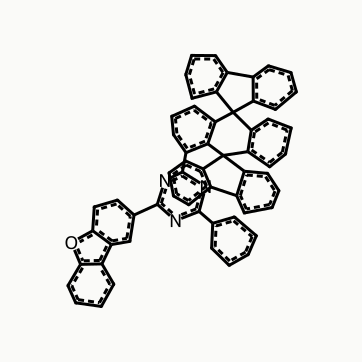 c1ccc(-c2nc(-c3ccc4oc5ccccc5c4c3)nc(-c3cccc4c3C3(c5ccccc5-c5ccccc53)c3ccccc3C43c4ccccc4-c4ccccc43)n2)cc1